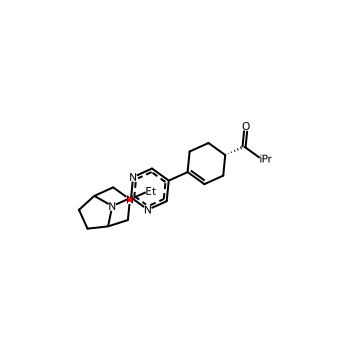 CCN1CC2CCC(C1)N2c1ncc(C2=CC[C@@H](C(=O)C(C)C)CC2)cn1